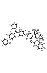 c1ccc(-c2ccc(N(c3ccccc3)c3ccc(-c4ccc5c(c4)Oc4cc6ccccc6cc4C54c5ccccc5-c5ccccc54)cc3)cc2)cc1